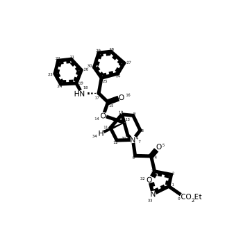 CCOC(=O)c1cc(C(=O)C[N+]23CCC(CC2)[C@@H](OC(=O)[C@H](Nc2ccccc2)c2ccccc2)C3)on1